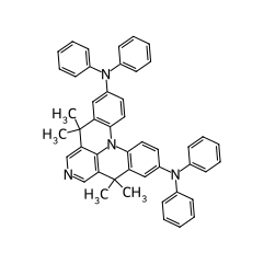 CC1(C)c2cc(N(c3ccccc3)c3ccccc3)ccc2N2c3ccc(N(c4ccccc4)c4ccccc4)cc3C(C)(C)c3cncc1c32